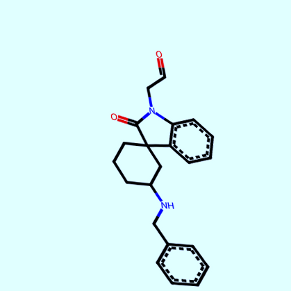 O=CCN1C(=O)C2(CCCC(NCc3ccccc3)C2)c2ccccc21